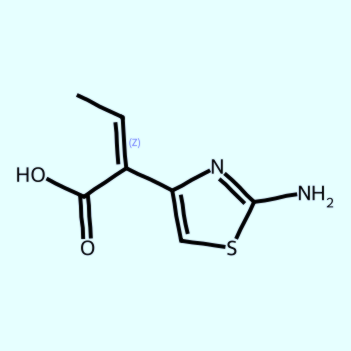 C/C=C(\C(=O)O)c1csc(N)n1